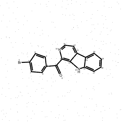 O=C(c1ccc(Br)cc1)c1nccc2c1[nH]c1ccccc12